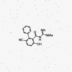 CNC(=N)NC(=O)c1c(O)ccc(C#N)c1-c1ccccc1